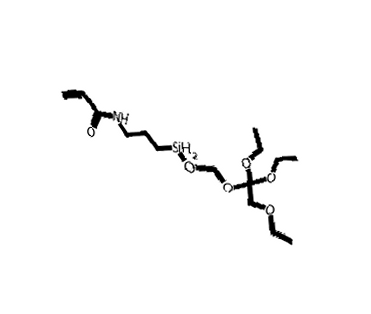 C=CC(=O)NCCC[SiH2]OCOC(COCC)(OCC)OCC